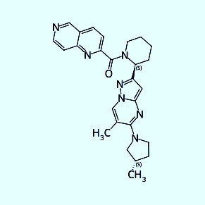 Cc1cn2nc([C@@H]3CCCCN3C(=O)c3ccc4cnccc4n3)cc2nc1N1CC[C@H](C)C1